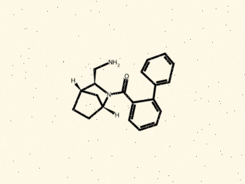 NC[C@@H]1[C@H]2CC[C@H](C2)N1C(=O)c1ccccc1-c1ccccc1